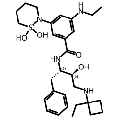 CCNc1cc(C(=O)N[C@@H](Cc2ccccc2)[C@@H](O)CNC2(CC)CCC2)cc(N2CCCCS2(O)O)c1